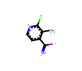 Cc1c(C(=N)I)ccnc1Cl